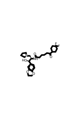 O=C(CCCCC(=O)C1CCC(F)(F)CC1)N[C@H](CN1CCCC1)[C@H](O)c1ccc2c(c1)OCCO2